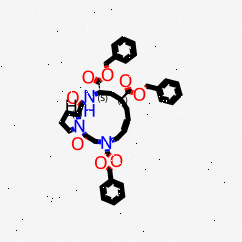 O=C(OCc1ccccc1)[C@H]1CC=CCN(C2OC(c3ccccc3)O2)CC(=O)N2CCC[C@H]2C(=O)N[C@H](C(=O)OCc2ccccc2)C1